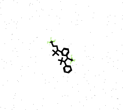 CC(C)(C)C(CCC(F)(F)F)c1cccc(C(C(c2ccccc2)C(C)(C)C)C(F)(F)F)c1